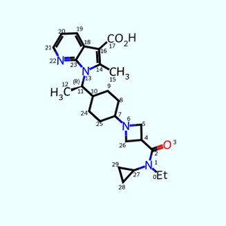 CCN(C(=O)C1CN(C2CCC([C@@H](C)n3c(C)c(C(=O)O)c4cccnc43)CC2)C1)C1CC1